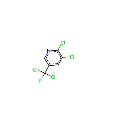 FC(Cl)(Cl)c1cnc(Cl)c(Cl)c1